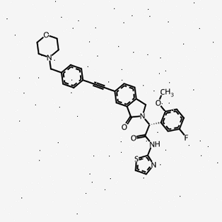 COc1ccc(F)cc1[C@H](C(=O)Nc1nccs1)N1Cc2ccc(C#Cc3ccc(CN4CCOCC4)cc3)cc2C1=O